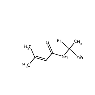 CCCC(C)(CC)NC(=O)C=C(C)C